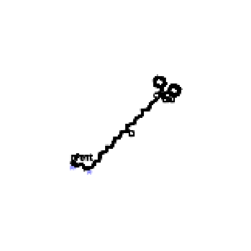 CCCCC/C=C\C/C=C\CCCCCCCCCC(=O)CCCCCCCCO[Si](c1ccccc1)(c1ccccc1)C(C)(C)C